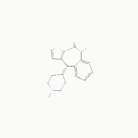 CC1C(=O)c2sccc2C(=C2CCN(C)CC2)c2ccccc21